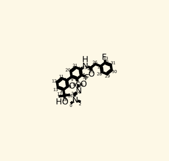 CN(C)C=NS(=O)(=O)c1c(-c2cccc(C(C)(C)O)c2)ccc(NC(=O)Cc2ccccc2F)c1F